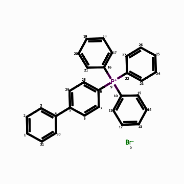 [Br-].c1ccc(-c2ccc([P+](c3ccccc3)(c3ccccc3)c3ccccc3)cc2)cc1